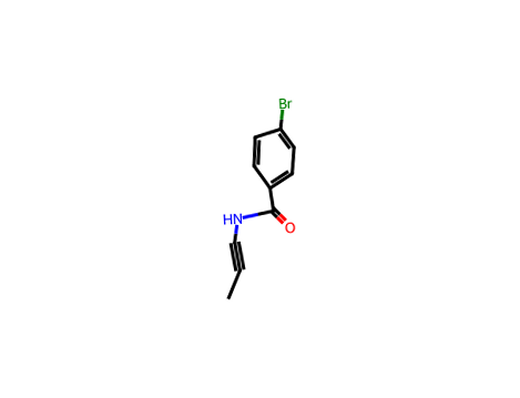 CC#CNC(=O)c1ccc(Br)cc1